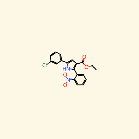 CCOC(=O)c1cc(-c2cccc(Cl)c2)[nH]c1-c1ccccc1[N+](=O)[O-]